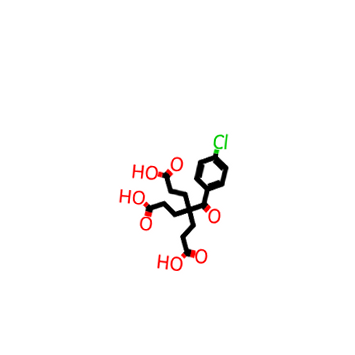 O=C(O)CCC(CCC(=O)O)(CCC(=O)O)C(=O)c1ccc(Cl)cc1